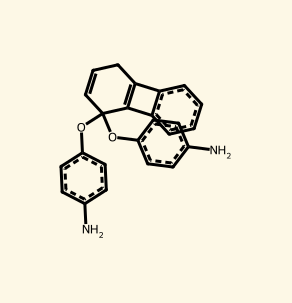 Nc1ccc(OC2(Oc3ccc(N)cc3)C=CCC3=C2c2ccccc23)cc1